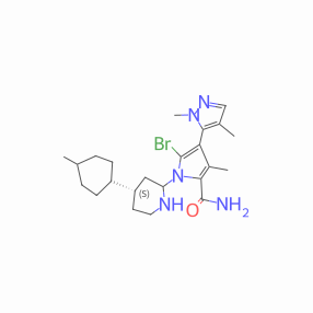 Cc1cnn(C)c1-c1c(C)c(C(N)=O)n(C2C[C@@H](C3CCC(C)CC3)CCN2)c1Br